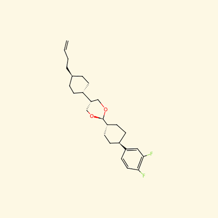 C=CCC[C@H]1CC[C@H]([C@H]2CO[C@H]([C@H]3CC[C@H](c4ccc(F)c(F)c4)CC3)OC2)CC1